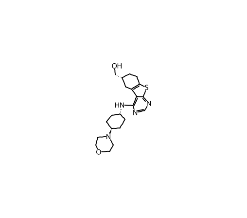 OC[C@@H]1CCc2sc3ncnc(N[C@H]4CC[C@H](N5CCOCC5)CC4)c3c2C1